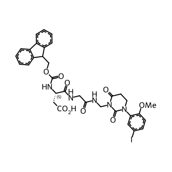 COc1ccc(I)cc1N1CCC(=O)N(CNC(=O)CNC(=O)[C@H](CC(=O)O)NC(=O)OCC2c3ccccc3-c3ccccc32)C1=O